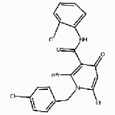 CCCc1c(C(=O)Nc2ccccc2Cl)c(=O)cc(CC)n1Cc1ccc(Cl)cc1